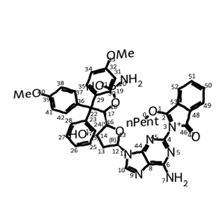 CCCCCOC1=[N+](c2nc(N)c3ncn([C@H]4C[C@H](O)[C@@H](C(OP(N)O)C(c5ccccc5)(c5ccc(OC)cc5)c5ccc(OC)cc5)O4)c3n2)C(=O)c2ccccc21